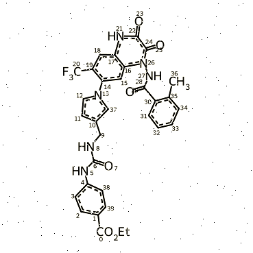 CCOC(=O)c1ccc(NC(=O)NCc2ccn(-c3cc4c(cc3C(F)(F)F)[nH]c(=O)c(=O)n4NC(=O)c3ccccc3C)c2)cc1